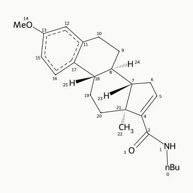 CCCCNC(=O)C1=CC[C@H]2[C@@H]3CCc4cc(OC)ccc4[C@H]3CC[C@]12C